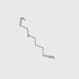 C=CCCCOCC=C